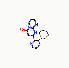 O=c1cc(-c2ncccc2N2CCCCC2)nc2ncccn12